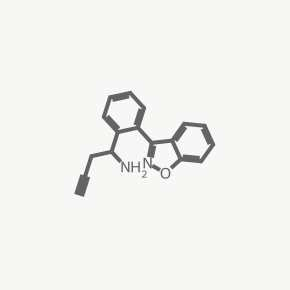 C#CCC(N)c1ccccc1-c1noc2ccccc12